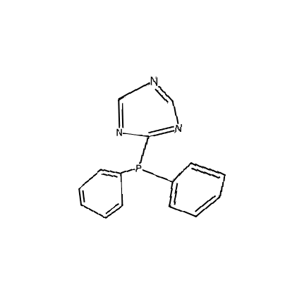 c1ccc(P(c2ccccc2)c2ncncn2)cc1